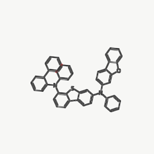 c1ccc(-c2ccccc2N(c2ccccc2)c2cccc3c2sc2cc(N(c4ccccc4)c4ccc5c(c4)oc4ccccc45)ccc23)cc1